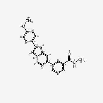 CNC(=O)c1cccc(-c2cc3cc(-c4ccc(OC)cc4)nn3cn2)c1